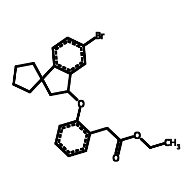 CCOC(=O)Cc1ccccc1OC1CC2(CCCC2)c2ccc(Br)cc21